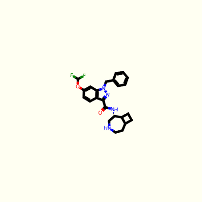 O=C(N[C@H]1CNCCC2CCC21)c1nn(Cc2ccccc2)c2cc(OC(F)F)ccc12